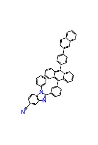 N#Cc1ccc2c(c1)nc(-c1cccc(-c3c4ccccc4c(-c4ccc(-c5ccc6ccccc6c5)cc4)c4ccccc34)c1)n2-c1ccccc1